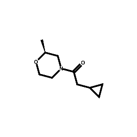 C[C@H]1CN(C(=O)CC2CC2)CCO1